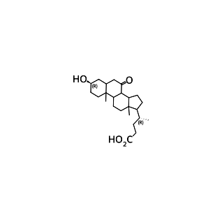 C[C@H](CCC(=O)O)C1CCC2C3C(=O)CC4C[C@H](O)CCC4(C)C3CCC21C